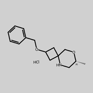 C[C@@H]1CNC2(CO1)CC(OCc1ccccc1)C2.Cl